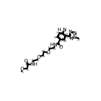 COCC(=O)NCCOCCOCCNC(=O)c1ccc(N)c(-c2nnn(C)n2)c1